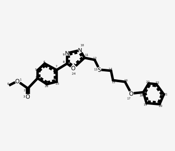 COC(=O)c1ccc(-c2nnc(CSCCCOc3ccccc3)o2)cc1